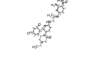 CCN1CCN(c2ccc(NC/C(C)=N/c3ccc([NH+]([O-])O)c(N)n3)nc2-c2ccc(Cl)cc2Cl)C(=O)C1